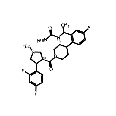 CNC(=O)NC(C)c1cc(F)ccc1C1CCN(C(=O)[C@@H]2CN(C(C)(C)C)CC2c2ccc(F)cc2F)CC1